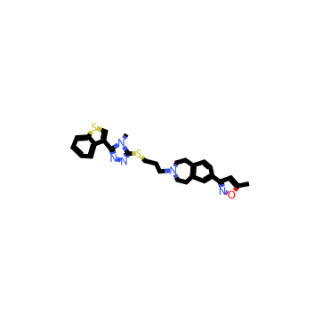 Cc1cc(-c2ccc3c(c2)CCN(CCCSc2nnc(-c4csc5ccccc45)n2C)CC3)no1